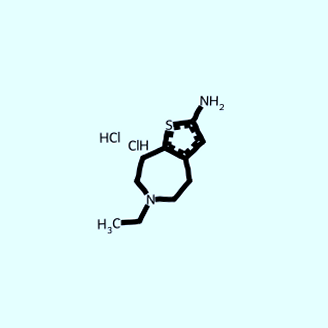 CCN1CCc2cc(N)sc2CC1.Cl.Cl